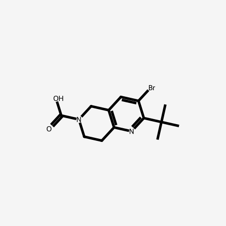 CC(C)(C)c1nc2c(cc1Br)CN(C(=O)O)CC2